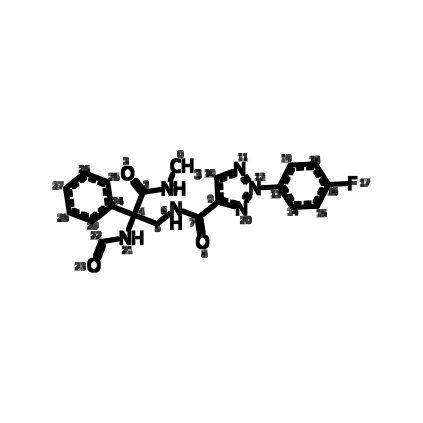 CNC(=O)C(CNC(=O)c1cnn(-c2ccc(F)cc2)n1)(NC=O)c1ccccc1